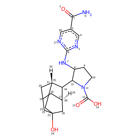 NC(=O)c1cnc(NC2CCN(C(=O)O)C2C2[C@@H]3CC4C[C@H]2CC(O)(C4)C3)nc1